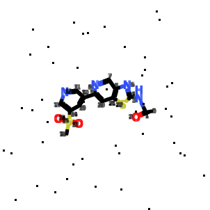 CC(=O)Nc1nc2cnc(-c3cncc(S(C)(=O)=O)c3)cc2s1